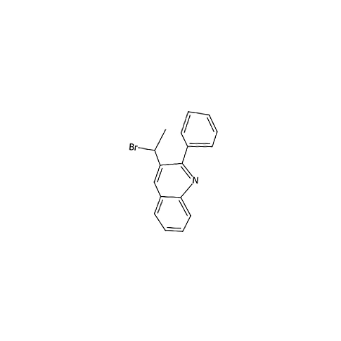 CC(Br)c1cc2ccccc2nc1-c1ccccc1